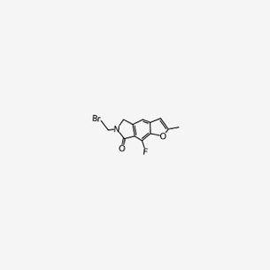 Cc1cc2cc3c(c(F)c2o1)C(=O)N(CBr)C3